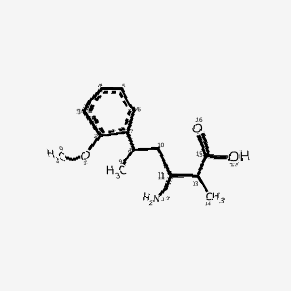 COc1ccccc1C(C)CC(N)C(C)C(=O)O